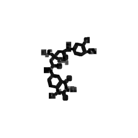 CCn1c(=O)c2cc(NC(=O)CC(C)(C)CC(=O)Nc3ccc(C#N)c(Cl)c3)ccc2n(CC)c1=O